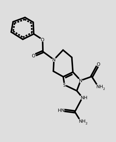 N=C(N)NC1SC2=C(CCN(C(=O)Oc3ccccc3)C2)N1C(N)=O